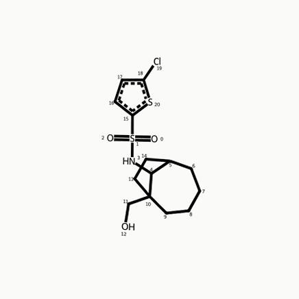 O=S(=O)(NC1C2CCCCC1(CO)CC2)c1ccc(Cl)s1